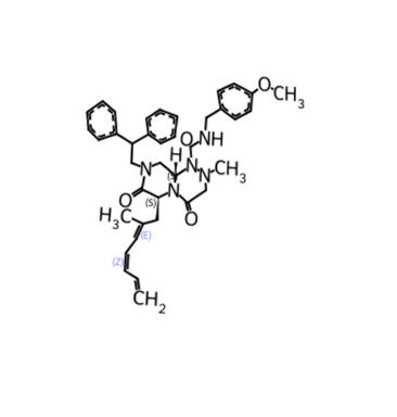 C=C/C=C\C=C(/C)C[C@H]1C(=O)N(CC(c2ccccc2)c2ccccc2)C[C@H]2N1C(=O)CN(C)N2C(=O)NCc1ccc(OC)cc1